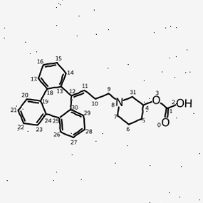 O=C(O)OC1CCCN(CCC=C2c3ccccc3-c3ccccc3-c3ccccc32)C1